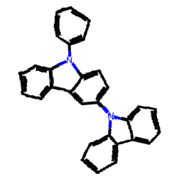 c1ccc(-n2c3ccccc3c3cc(-n4c5ccccc5c5ccccc54)ccc32)cc1